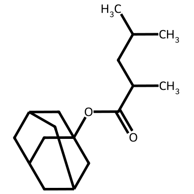 CC(C)CC(C)C(=O)OC12CC3CC(CC(C3)C1)C2